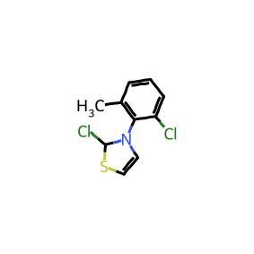 Cc1cccc(Cl)c1N1C=CSC1Cl